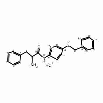 Cl.NC(Cc1ccccc1)C(=O)Nc1ccc(SCc2ccccc2)cn1